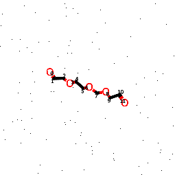 O=CCOCCOCOCC=O